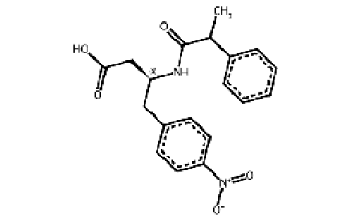 CC(C(=O)N[C@H](CC(=O)O)Cc1ccc([N+](=O)[O-])cc1)c1ccccc1